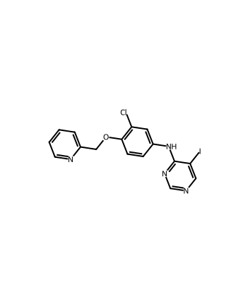 Clc1cc(Nc2ncncc2I)ccc1OCc1ccccn1